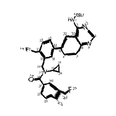 CC(C)(C)Nc1ncnc2ccc(-c3ccc(F)c(CN(C(=O)c4cccc(F)c4)C4CC4)c3)cc12